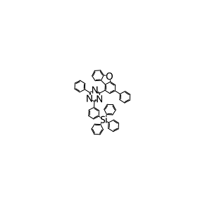 c1ccc(-c2cc(-c3nc(-c4ccccc4)nc(-c4cccc([Si](c5ccccc5)(c5ccccc5)c5ccccc5)c4)n3)c3c(c2)oc2ccccc23)cc1